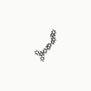 c1ccc(-c2nc(-c3ccccc3)nc(-c3ccc(-c4ccc5cc(-c6ccc7ccc(-c8ncc9ccccc9n8)nc7c6)ccc5n4)cc3)n2)cc1